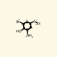 CCSc1cc(N)c(O)c(Br)c1